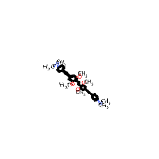 COC1=CC(C#CC2=CC=C(N(C)C)CC2)=CC(OC)C1CCc1c(OC)cc(C#Cc2ccc(N(C)C)cc2)cc1OC